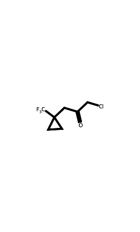 O=C(CCl)CC1(C(F)(F)F)CC1